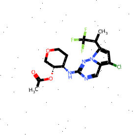 CC(=O)O[C@@H]1COCC[C@H]1Nc1ncc2c(Cl)cc(C(C)C(F)(F)F)n2n1